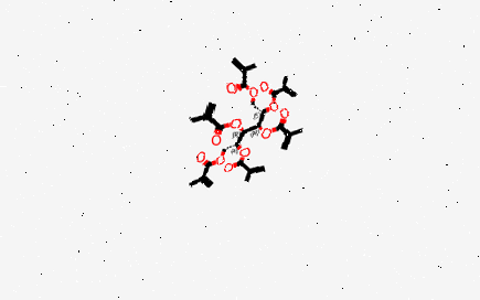 C=C(C)C(=O)OC[C@H](OC(=O)C(=C)C)[C@@H](OC(=O)C(=C)C)[C@H](OC(=O)C(=C)C)[C@@H](COC(=O)C(=C)C)OC(=O)C(=C)C